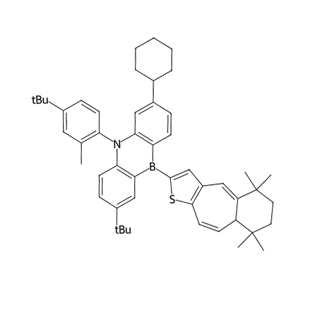 Cc1cc(C(C)(C)C)ccc1N1c2ccc(C(C)(C)C)cc2B(c2cc3c(s2)C=CC2C(=C3)C(C)(C)CCC2(C)C)c2ccc(C3CCCCC3)cc21